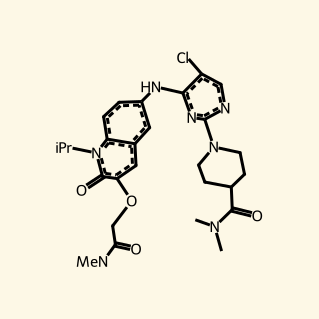 CNC(=O)COc1cc2cc(Nc3nc(N4CCC(C(=O)N(C)C)CC4)ncc3Cl)ccc2n(C(C)C)c1=O